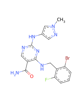 Cn1cc(Nc2ncc(C(N)=O)c(NCc3c(F)cccc3Br)n2)cn1